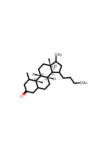 CC(=O)OCCCC1CC(OC(C)=O)[C@@]2(C)CC[C@@H]3[C@@H](CCC4CC(=O)CC(C)[C@@]43C)[C@H]12